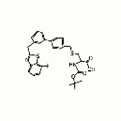 CC(C)(C)OC(=O)NC(CSCc1ccc(-c2cccc(Cc3nc4cccc(F)c4s3)c2)cc1)C(=O)O